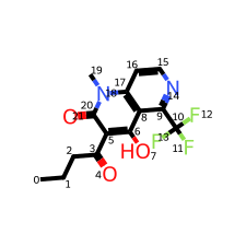 CCCC(=O)c1c(O)c2c(C(F)(F)F)nccc2n(C)c1=O